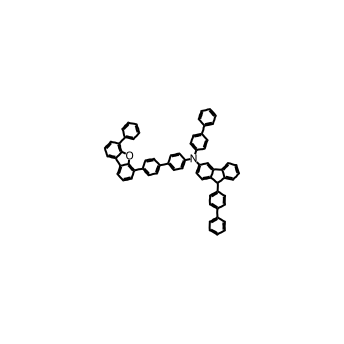 c1ccc(-c2ccc(C3c4ccccc4-c4cc(N(c5ccc(-c6ccccc6)cc5)c5ccc(-c6ccc(-c7cccc8c7oc7c(-c9ccccc9)cccc78)cc6)cc5)ccc43)cc2)cc1